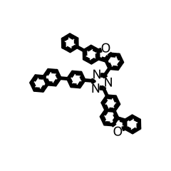 c1ccc(-c2ccc3c(c2)oc2cccc(-c4nc(-c5ccc(-c6ccc7ccccc7c6)cc5)nc(-c5ccc6c(ccc7oc8ccccc8c76)c5)n4)c23)cc1